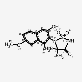 BC1(B)C(=O)NS(=O)(=O)N1c1c(O)cc2ccc(OC)cc2c1F